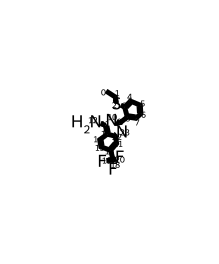 CCSc1ccccc1-c1nc(N)c2ccc(C(F)(F)F)cc2n1